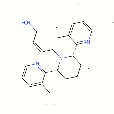 Cc1cccnc1[C@H]1CCC[C@@H](c2ncccc2C)N1C/C=C\CN